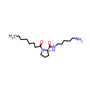 CCCCCCCC(=O)N1CCC[C@@H]1C(=O)NCCCCCN